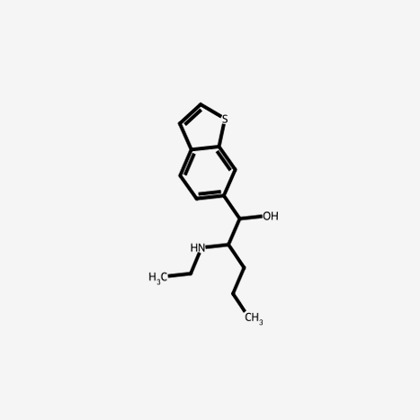 CCCC(NCC)C(O)c1ccc2ccsc2c1